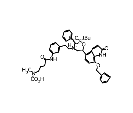 CN(CCCC(=O)Nc1cccc(CCN(Cc2ccccc2)C[C@@H](O[Si](C)(C)C(C)(C)C)c2ccc(OCc3ccccc3)c3[nH]c(=O)ccc23)c1)C(=O)O